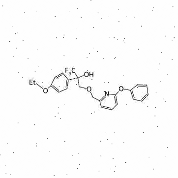 CCOc1ccc(C(O)(COCc2cccc(Oc3ccccc3)n2)C(F)(F)F)cc1